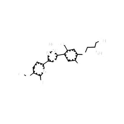 CC(C)Oc1ccc(-c2nnc(-c3cc(F)c(OC[C@@H](N)CO)cc3Cl)s2)nc1Cl.Cl